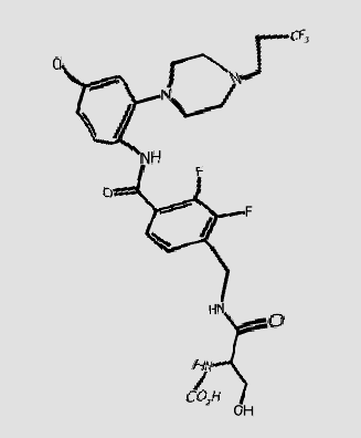 O=C(O)NC(CO)C(=O)NCc1ccc(C(=O)Nc2ccc(Cl)cc2N2CCN(CCC(F)(F)F)CC2)c(F)c1F